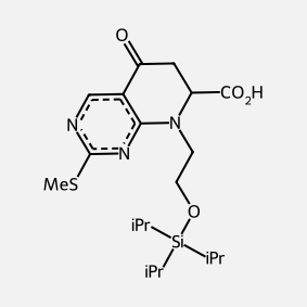 CSc1ncc2c(n1)N(CCO[Si](C(C)C)(C(C)C)C(C)C)C(C(=O)O)CC2=O